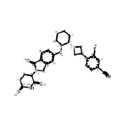 N#Cc1ccc(C2CN([C@H]3CCCC[C@@H]3Oc3ccc4c(c3)CN(C3CCC(=O)NC3=O)C4=O)C2)c(F)c1